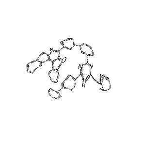 c1ccc(-c2ccc(-c3nc(-c4ccccc4)nc(-c4cccc(-c5cccc(-c6nc7ccc8ccccc8c7c7c6oc6ccccc67)c5)c4)n3)cc2)cc1